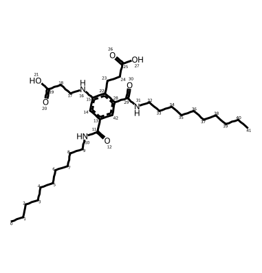 CCCCCCCCCCNC(=O)c1cc(NCCC(=O)O)c(CCC(=O)O)c(C(=O)NCCCCCCCCCC)c1